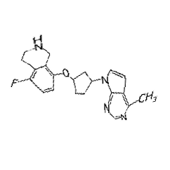 Cc1ncnc2c1ccn2C1CCC(Oc2ccc(F)c3c2CNCC3)C1